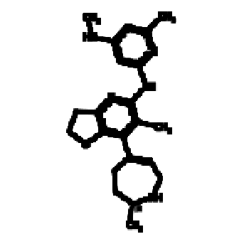 CNc1cc(C)nc(Nc2nc3c(c(C4=CCN[C@@H](C)CC4)c2C)OCC3)c1